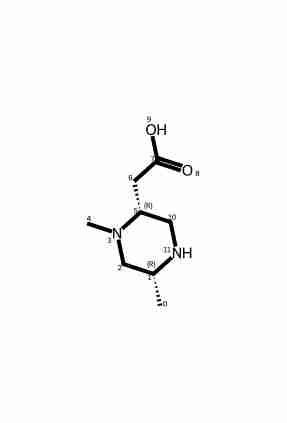 C[C@@H]1CN(C)[C@H](CC(=O)O)CN1